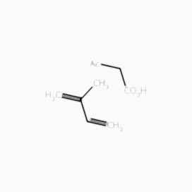 C=CC(=C)C.CC(=O)CC(=O)O